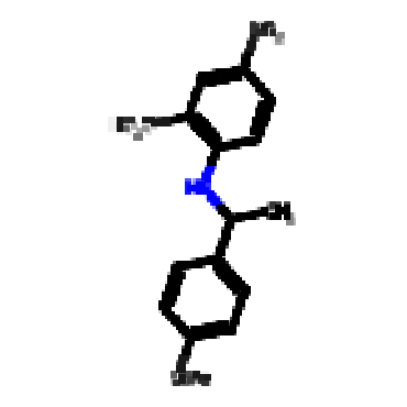 COc1ccc(C(C)Nc2ccc([N+](=O)[O-])cc2C(=O)O)cc1